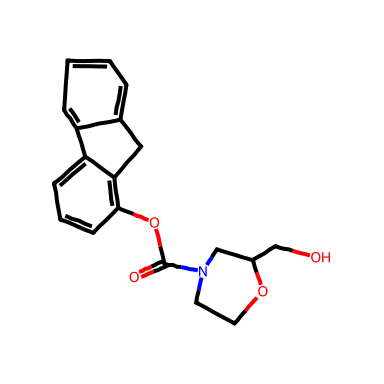 O=C(Oc1cccc2c1Cc1ccccc1-2)N1CCOC(CO)C1